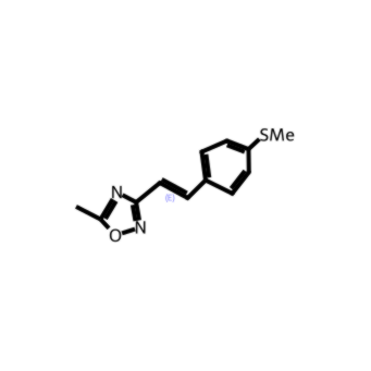 CSc1ccc(/C=C/c2noc(C)n2)cc1